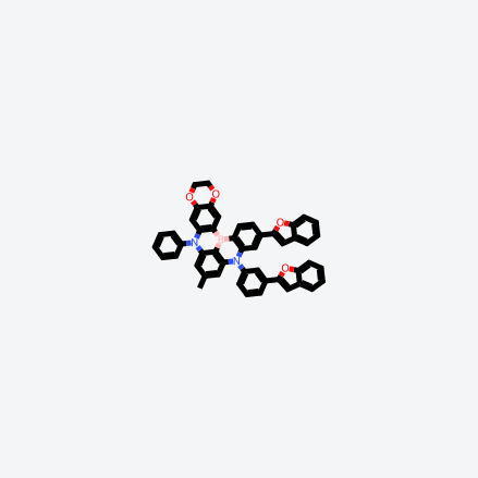 Cc1cc2c3c(c1)N(c1ccccc1)c1cc4c(cc1B3c1ccc(-c3cc5ccccc5o3)cc1N2c1cccc(-c2cc3ccccc3o2)c1)OCCO4